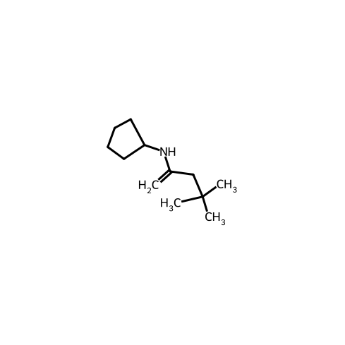 C=C(CC(C)(C)C)NC1CCCC1